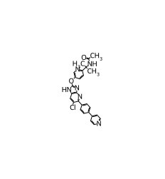 CC(=O)NC(C)(C)c1ccc(Oc2nc3nc(-c4ccc(-c5ccncc5)cc4)c(Cl)cc3[nH]2)cn1